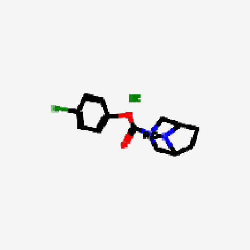 CN1C2CCC1CN(C(=O)Oc1ccc(Br)cc1)C2.Cl